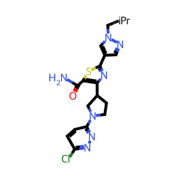 CC(C)Cn1cc(-c2nc(C3CCN(c4ccc(Cl)nn4)C3)c(C(N)=O)s2)cn1